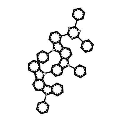 c1ccc(-c2nc(-c3ccccc3)nc(-c3cccc4c3c3ccc5c(c6cc(-n7c8ccccc8c8ccc9c(c%10ccccc%10n9-c9ccccc9)c87)ccc6n5-c5ccccc5)c3n4-c3ccccc3)n2)cc1